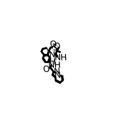 CC1(C)C(=N)N[C@@]2(CCCc3ccc(NC(=O)c4cc5ccccn5n4)cc32)CS1(=O)=O